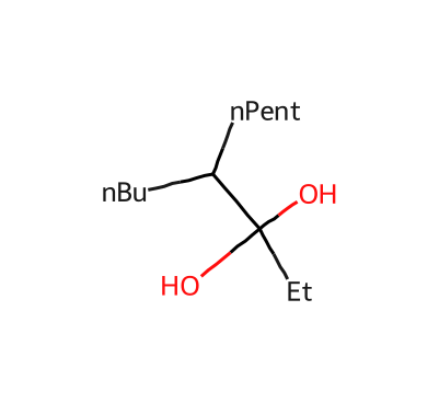 CCCCCC(CCCC)C(O)(O)CC